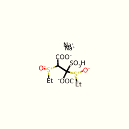 CC[S+]([O-])C(C(=O)[O-])C(C(=O)[O-])([S+]([O-])CC)S(=O)(=O)O.[Na+].[Na+]